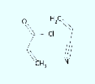 C=CC#N.C=CC(=O)Cl